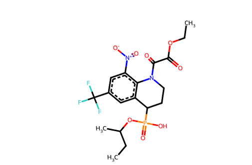 CCOC(=O)C(=O)N1CCC(P(=O)(O)OC(C)CC)c2cc(C(F)(F)F)cc([N+](=O)[O-])c21